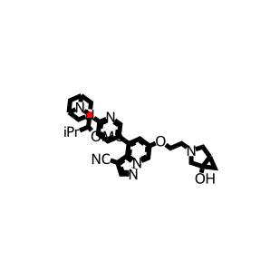 COC(CN1C2CC1CN(c1ccc(-c3cc(OCCN4CC5CC5(O)C4)cn4ncc(C#N)c34)cn1)C2)C(C)C